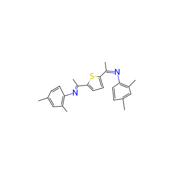 CC(=Nc1ccc(C)cc1C)c1ccc(C(C)=Nc2ccc(C)cc2C)s1